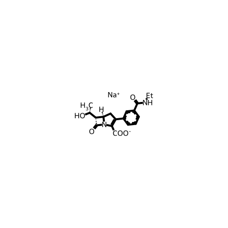 CCNC(=O)c1cccc(C2=C(C(=O)[O-])N3C(=O)[C@H]([C@@H](C)O)[C@H]3C2)c1.[Na+]